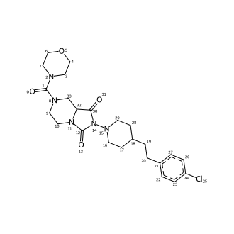 O=C(N1CCOCC1)N1CCN2C(=O)N(N3CCC(CCc4ccc(Cl)cc4)CC3)C(=O)C2C1